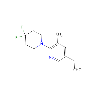 Cc1cc(CC=O)cnc1N1CCC(F)(F)CC1